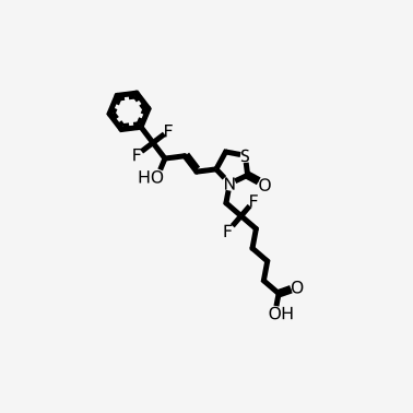 O=C(O)CCCCC(F)(F)CN1C(=O)SCC1/C=C/C(O)C(F)(F)c1ccccc1